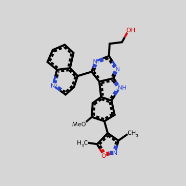 COc1cc2c(cc1-c1c(C)noc1C)[nH]c1nc(CCO)nc(-c3ccnc4ccccc34)c12